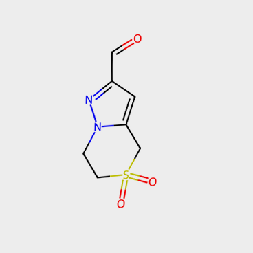 O=Cc1cc2n(n1)CCS(=O)(=O)C2